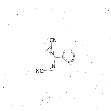 N#CC1CN1C(c1ccccc1)N1CC1C#N